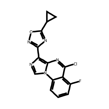 Fc1cccc2c1c(Cl)nc1c(-c3noc(C4CC4)n3)ncn12